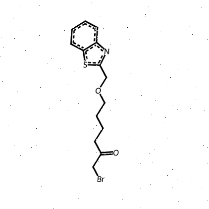 O=C(CBr)CCCCOCc1nc2ccccc2s1